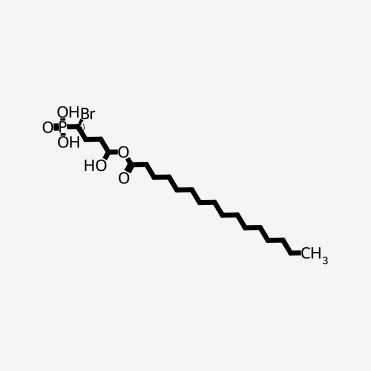 CCCCCCCCCCCCCCCC(=O)OC(O)CC[C@H](Br)P(=O)(O)O